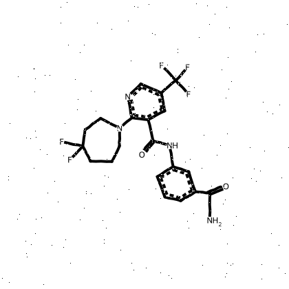 NC(=O)c1cccc(NC(=O)c2cc(C(F)(F)F)cnc2N2CCCC(F)(F)CC2)c1